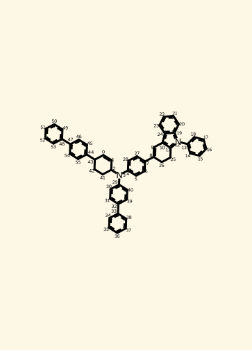 C1=CC(N(c2ccc(C3=Cc4c(n(-c5ccccc5)c5ccccc45)CC3)cc2)c2ccc(-c3ccccc3)cc2)CCC1c1ccc(-c2ccccc2)cc1